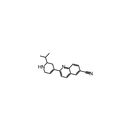 CC(C)C1CC(c2ccc3cc(C#N)ccc3n2)=CCN1